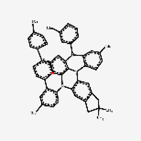 CC(C)c1cc2c3c(c1)N(c1ccc(C(C)(C)C)cc1-c1ccc(-c4ccc(C(C)(C)C)cc4)cc1)c1cc4c(cc1B3c1ccc(C(C)(C)C)cc1N2c1cccc(C(C)(C)C)c1)CC(C)(C)C4